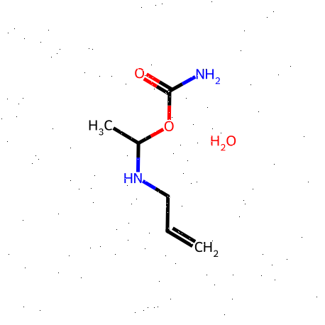 C=CCNC(C)OC(N)=O.O